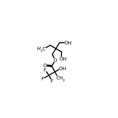 CCC(CO)(CO)COC(=O)C(C)(O)C(F)(F)F